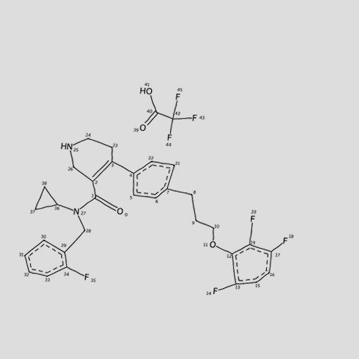 O=C(C1=C(c2ccc(CCCOc3c(F)ccc(F)c3F)cc2)CCNC1)N(Cc1ccccc1F)C1CC1.O=C(O)C(F)(F)F